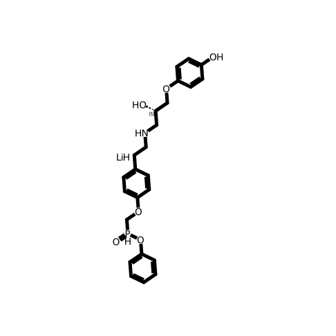 O=[PH](COc1ccc(CCNC[C@H](O)COc2ccc(O)cc2)cc1)Oc1ccccc1.[LiH]